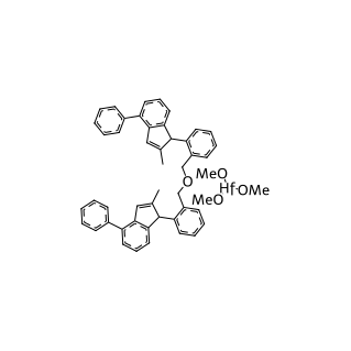 CC1=Cc2c(-c3ccccc3)cccc2C1c1ccccc1COCc1ccccc1C1C(C)=Cc2c(-c3ccccc3)cccc21.C[O][Hf]([O]C)[O]C